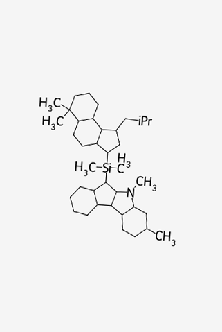 CC(C)CC1CC([Si](C)(C)C2C3CCCCC3C3C4CCC(C)CC4N(C)C32)C2CCC3C(CCCC3(C)C)C12